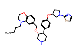 COCCCN1CCOc2ccc(CO[C@H]3CNCC[C@@H]3c3ccc(O[C@H]4CCN(c5nccs5)C4)cc3)cc21